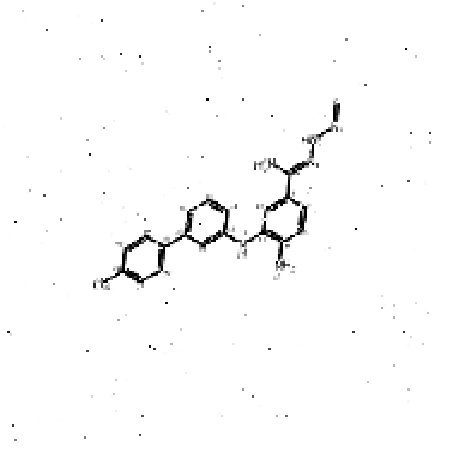 C=NN/N=C(\N)c1ccc(N)c(Nc2cccc(-c3ccc(Cl)cc3)c2)c1